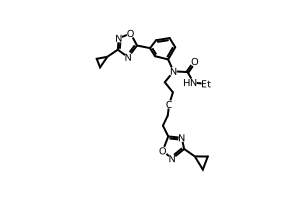 CCNC(=O)N(CCCCCc1nc(C2CC2)no1)c1cccc(-c2nc(C3CC3)no2)c1